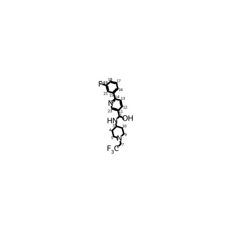 OC(NC1CCN(CC(F)(F)F)CC1)c1ccc(-c2cccc(F)c2)nc1